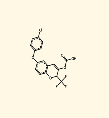 O=C(O)OC1=Cc2cc(Oc3ccc(Cl)cc3)ccc2OC1C(F)(F)F